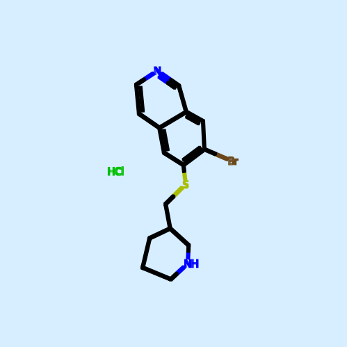 Brc1cc2cnccc2cc1SCC1CCCNC1.Cl